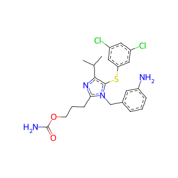 CC(C)c1nc(CCCOC(N)=O)n(Cc2cccc(N)c2)c1Sc1cc(Cl)cc(Cl)c1